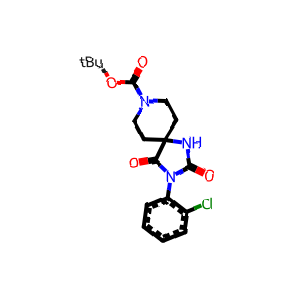 CC(C)(C)OC(=O)N1CCC2(CC1)NC(=O)N(c1ccccc1Cl)C2=O